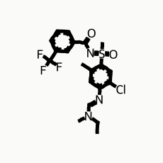 CCN(C)C=Nc1cc(C)c(S(C)(=O)=NC(=O)c2cccc(C(F)(F)F)c2)cc1Cl